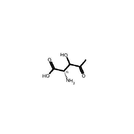 CC(=O)C(O)[C@H](N)C(=O)O